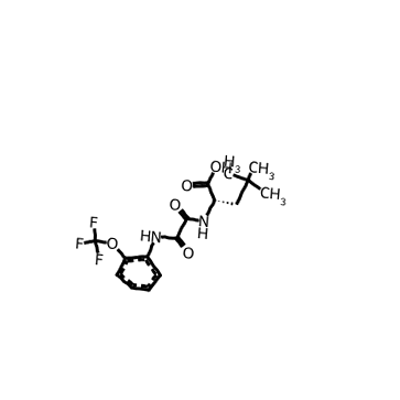 CC(C)(C)C[C@H](NC(=O)C(=O)Nc1ccccc1OC(F)(F)F)C(=O)O